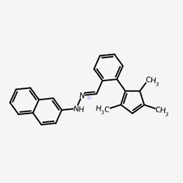 CC1=CC(C)=C(c2ccccc2/C=N/Nc2ccc3ccccc3c2)C1C